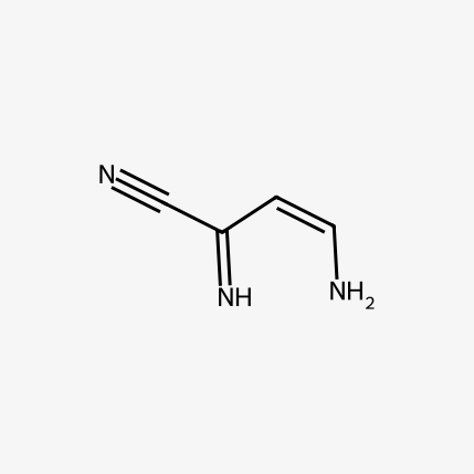 N#CC(=N)/C=C\N